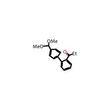 CCC(=O)c1ccccc1-c1ccc(C(OC)OC)cc1